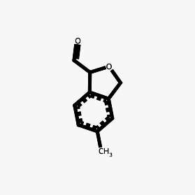 Cc1ccc2c(c1)COC2C=O